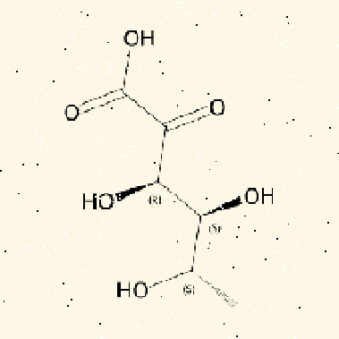 C[C@H](O)[C@H](O)[C@@H](O)C(=O)C(=O)O